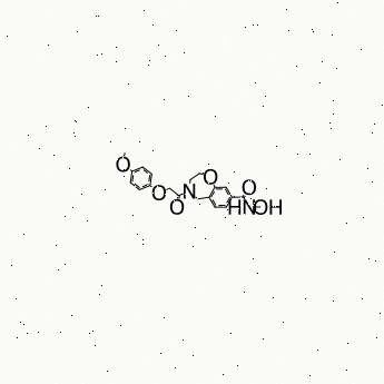 COc1ccc(OCC(=O)N2CCOc3cc(C(=O)NO)ccc3C2)cc1